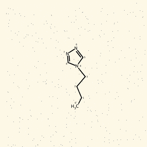 CCCCn1[c]nnc1